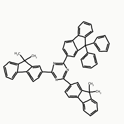 CC1(C)c2ccccc2-c2ccc(-c3nc(-c4ccc5c(c4)C(C)(C)c4ccccc4-5)nc(-c4ccc5c(c4)C(c4ccccc4)(c4ccccc4)c4ccccc4-5)n3)cc21